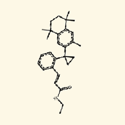 CCNC(=O)C=Cc1ccccc1C1(c2cc3c(cc2C)C(C)(C)CCC3(C)C)CC1